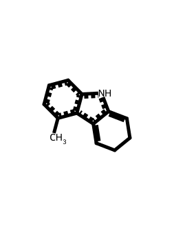 Cc1cccc2[nH]c3c(c12)=CCCC=3